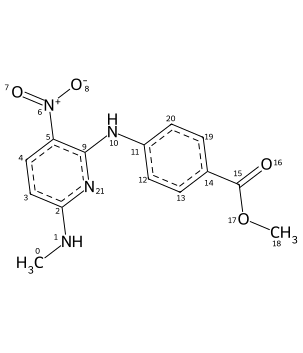 CNc1ccc([N+](=O)[O-])c(Nc2ccc(C(=O)OC)cc2)n1